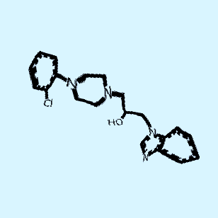 OC(CN1CCN(c2ccccc2Cl)CC1)Cn1cnc2ccccc21